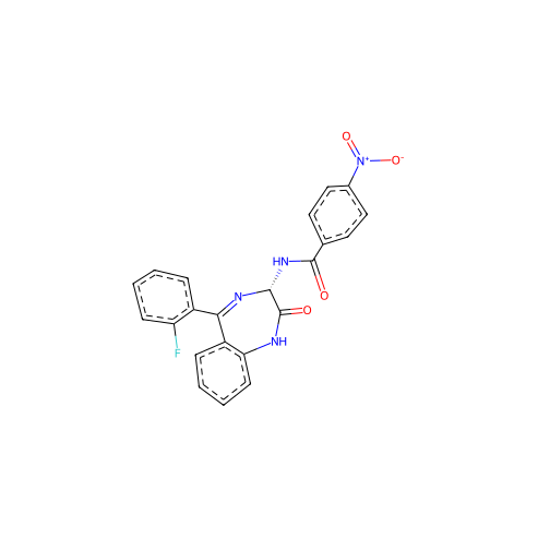 O=C(N[C@H]1N=C(c2ccccc2F)c2ccccc2NC1=O)c1ccc([N+](=O)[O-])cc1